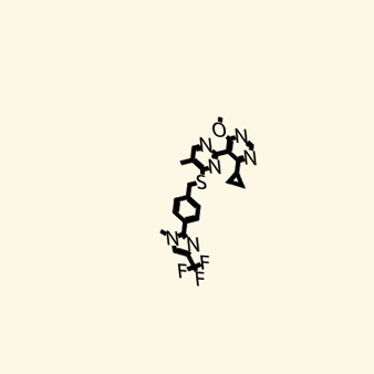 COc1ncnc(C2CC2)c1-c1ncc(C)c(SCc2ccc(-c3nc(C(F)(F)F)cn3C)cc2)n1